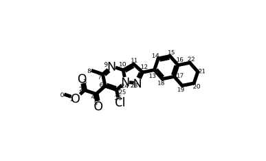 COC(=O)C(=O)c1c(C)nc2cc(-c3ccc4c(c3)CCCC4)nn2c1Cl